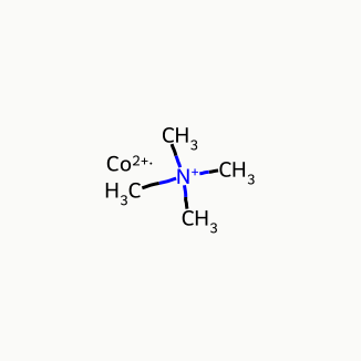 C[N+](C)(C)C.[Co+2]